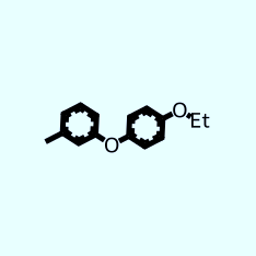 [CH2]COc1ccc(Oc2cccc(C)c2)cc1